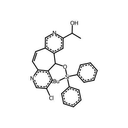 CC(O)c1cc2c(cn1)C=Cc1ncc(Cl)cc1C2O[Si](c1ccccc1)(c1ccccc1)C(C)(C)C